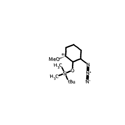 CO[C@@H]1CCCC(N=[N+]=[N-])C1O[Si](C)(C)C(C)(C)C